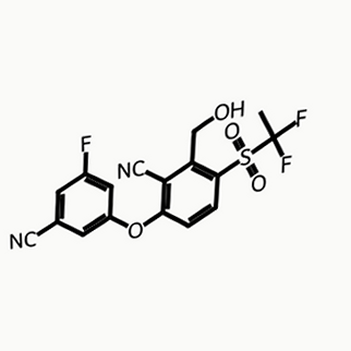 CC(F)(F)S(=O)(=O)c1ccc(Oc2cc(F)cc(C#N)c2)c(C#N)c1CO